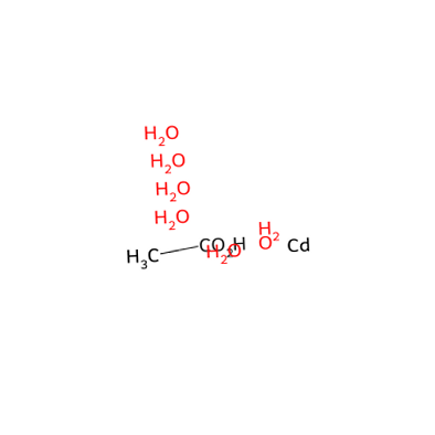 CC(=O)O.O.O.O.O.O.O.[Cd]